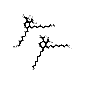 CCCCCCCCCc1ccc(C(=O)O)c(C(=O)O)c1CCCCCCCCC.CCCCCCCCc1ccc(C(=O)O)c(C(=O)O)c1CCCCCCCC